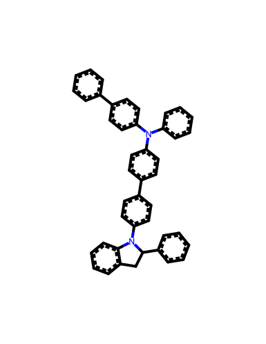 c1ccc(-c2ccc(N(c3ccccc3)c3ccc(-c4ccc(N5c6ccccc6CC5c5ccccc5)cc4)cc3)cc2)cc1